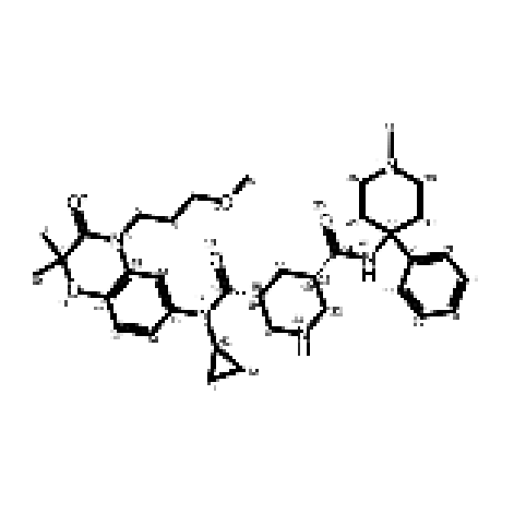 COCCCN1C(=O)C(C)(C)Oc2ccc(N(C(=O)[C@H]3CNC[C@@H](C(=O)NC4(c5ccccc5)CCN(C)CC4)C3)C3CC3)cc21